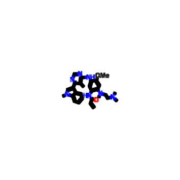 C=CC(=O)Nc1cc(Nc2ncnc(-c3cn(C)c4ccccc34)c2C)c(OC)cc1N(C)CCN(C)C